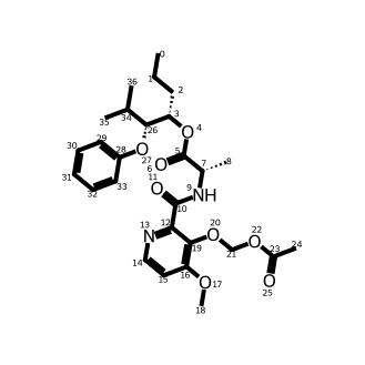 CCC[C@H](OC(=O)[C@H](C)NC(=O)c1nccc(OC)c1OCOC(C)=O)[C@H](Oc1ccccc1)C(C)C